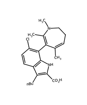 CCCCc1c(C(=O)O)[nH]c2c(C3=C(C)N(C)CCC=C3C)c(Cl)ccc12